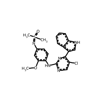 COc1cc(N=S(C)(C)=O)ccc1Nc1ncc(Cl)c(-c2c[nH]c3ccccc23)n1